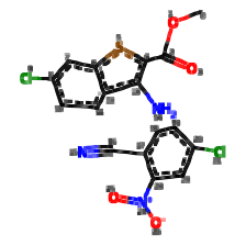 COC(=O)c1sc2cc(Cl)ccc2c1N.N#Cc1ccc(Cl)cc1[N+](=O)[O-]